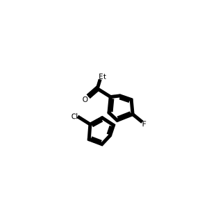 CCC(=O)c1ccc(F)cc1.Clc1ccccc1